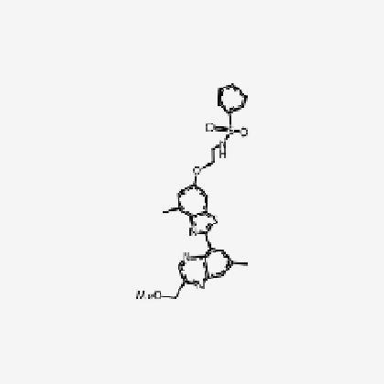 COCc1cnc2c(-c3nc4c(C)cc(OCCNS(=O)(=O)c5ccccc5)cc4s3)cc(C)cc2n1